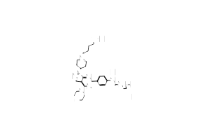 CCNC(=O)Nc1ccc(-c2nc(N3CCOCC3)c3cnn(C4CCN(CCCCO)CC4)c3n2)cc1